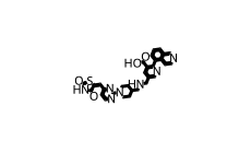 O=C1NC(=O)/C(=C\c2ccnc(N3CCC(CNCc4cnc(-c5cccc6cnccc56)c(C(=O)O)c4)CC3)n2)S1